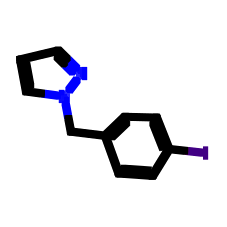 Ic1ccc(Cn2cccn2)cc1